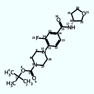 CC(C)(C)OC(=O)N1CCN(c2ccc(C(=O)N[C@@H]3CCOC3)cc2F)CC1